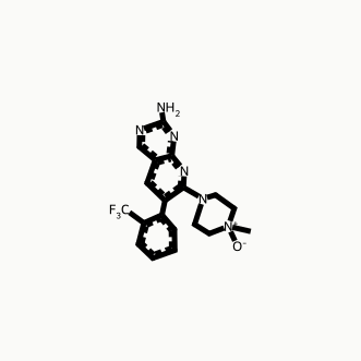 C[N+]1([O-])CCN(c2nc3nc(N)ncc3cc2-c2ccccc2C(F)(F)F)CC1